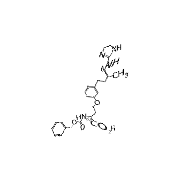 CC(CCc1cccc(OCC[C@H](NC(=O)OCc2ccccc2)C(=O)O)c1)=NNC1=NCCN1